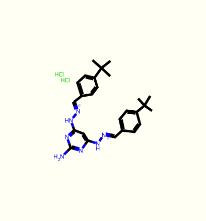 CC(C)(C)c1ccc(/C=N/Nc2cc(N/N=C/c3ccc(C(C)(C)C)cc3)nc(N)n2)cc1.Cl.Cl